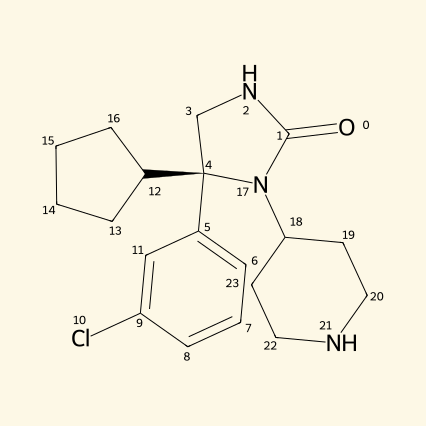 O=C1NC[C@](c2cccc(Cl)c2)(C2CCCC2)N1C1CCNCC1